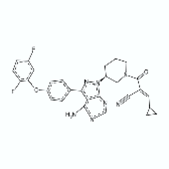 N#CC(=CC1CC1)C(=O)N1CCC[C@H](n2nc(-c3ccc(Oc4cc(F)ccc4F)cc3)c3c(N)ncnc32)C1